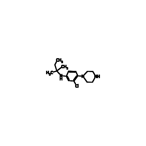 CCC(C)(C)Nc1ccc(N2CCNCC2)c(Cl)c1